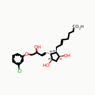 O=C(O)CCCC=CC[C@@H]1[C@@H](C=CC(O)COc2cccc(Cl)c2)[C@H](O)C[C@@H]1O